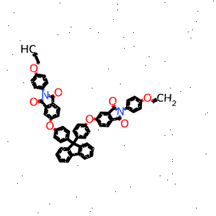 C#CCOc1ccc(N2C(=O)c3ccc(Oc4ccc(C5(c6ccc(Oc7ccc8c(c7)C(=O)N(c7ccc(OC=C)cc7)C8=O)cc6)c6ccccc6-c6ccccc65)cc4)cc3C2=O)cc1